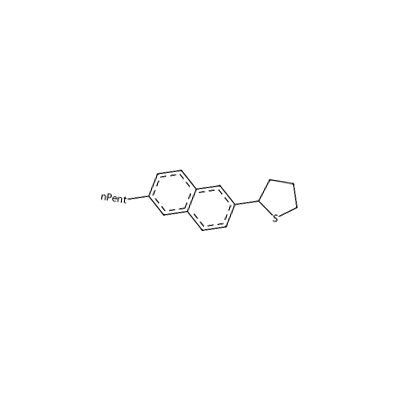 CCCCCc1ccc2cc(C3CCCS3)ccc2c1